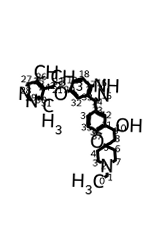 CCN1CCC2(CC1)CC(O)c1cc(-c3n[nH]c4ccc(O[C@H](C)c5c(C)cnnc5C)cc34)ccc1O2